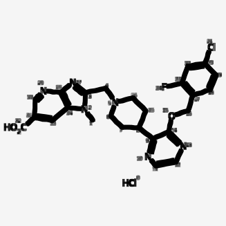 Cl.Cn1c(CN2CCC(c3nccnc3OCc3ccc(Cl)cc3F)CC2)nc2ncc(C(=O)O)cc21